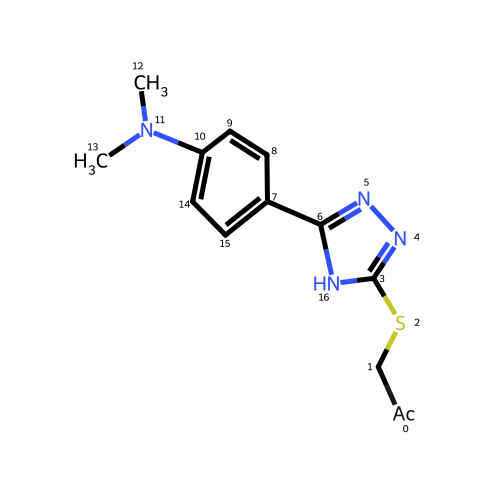 CC(=O)CSc1nnc(-c2ccc(N(C)C)cc2)[nH]1